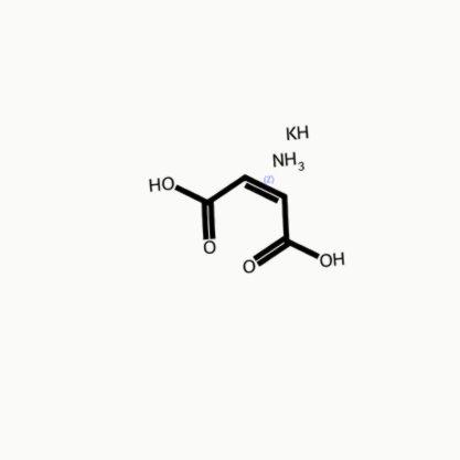 N.O=C(O)/C=C\C(=O)O.[KH]